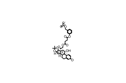 CC1(C)O[C@@H]2[C@@H](C[C@H]3C4CCC5=CC(=O)C=C[C@]5(C)[C@@]4(F)[C@@H](O)C[C@]23C(=O)COC(=O)CCC(=O)Oc2cccc(CO[N+](=O)[O-])c2)O1